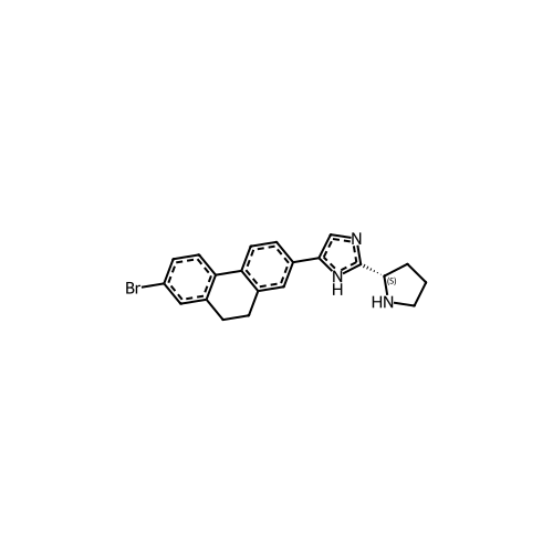 Brc1ccc2c(c1)CCc1cc(-c3cnc([C@@H]4CCCN4)[nH]3)ccc1-2